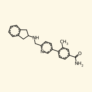 Cc1cc(C(N)=O)ccc1-c1ccc(CNC2Cc3ccccc3C2)nc1